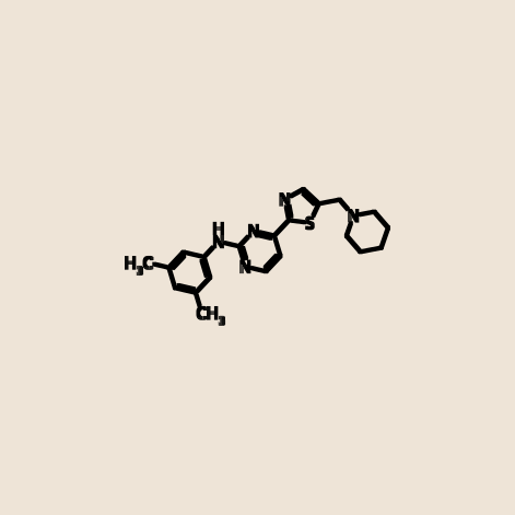 Cc1cc(C)cc(Nc2nccc(-c3ncc(CN4CCCCC4)s3)n2)c1